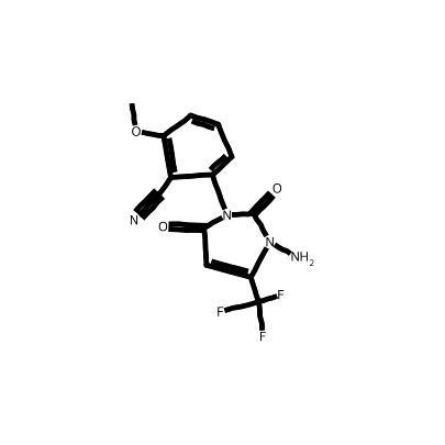 COc1cccc(-n2c(=O)cc(C(F)(F)F)n(N)c2=O)c1C#N